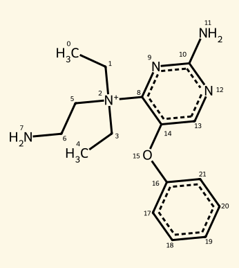 CC[N+](CC)(CCN)c1nc(N)ncc1Oc1ccccc1